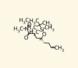 C=CCC[C@H](CCC(=O)N(C)OC)O[Si](C)(C)C(C)(C)C